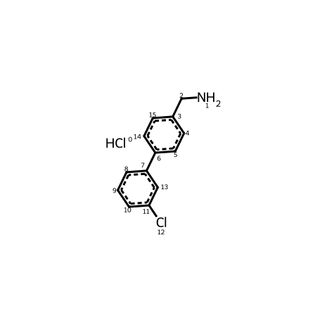 Cl.NCc1ccc(-c2cccc(Cl)c2)cc1